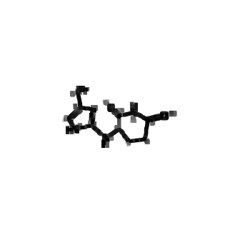 CC(C)c1c[nH]c(NC2CCC(=O)NC2=O)c1